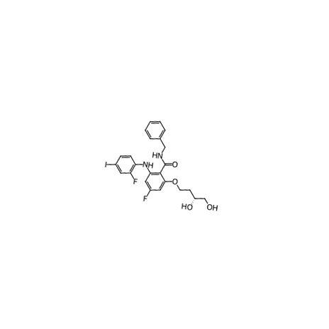 O=C(NCc1ccccc1)c1c(Nc2ccc(I)cc2F)cc(F)cc1OCC[C@@H](O)CO